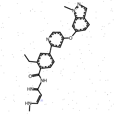 CCc1cc(-c2cc(Oc3ccc4cnn(C)c4c3)ccn2)ccc1C(=O)NC(=N)/C=C\NC